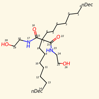 CCCCCCCCCCCCCCCCC(CCCCCCCCCCCCCCCC)(C(=O)NCCO)C(=O)NCCO